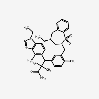 CC[C@@H]1CN(Cc2cc(C(c3ccc4c(nnn4CC)c3C)C(C)(C)C(N)=O)ccc2C)S(=O)(=O)c2ccccc2O1